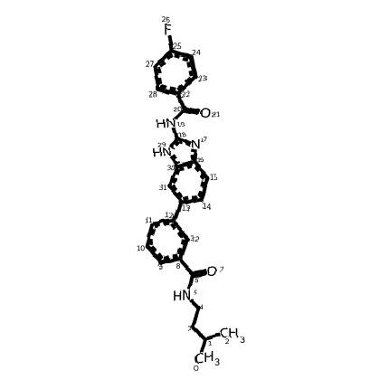 CC(C)CCNC(=O)c1cccc(-c2ccc3nc(NC(=O)c4ccc(F)cc4)[nH]c3c2)c1